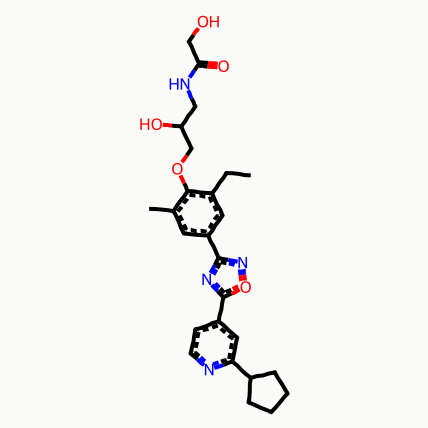 CCc1cc(-c2noc(-c3ccnc(C4CCCC4)c3)n2)cc(C)c1OCC(O)CNC(=O)CO